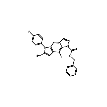 CC(C)c1cc2c(F)c3c(cnn3C(=O)OCc3ccccc3)cc2n1-c1ccc(F)cc1